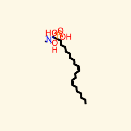 CCCCCC/C=C\CC/C=C\CCCCCCCCC(O)(C[N+](C)(C)C)P(=O)(O)O